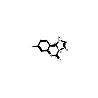 O=c1nc2cc(I)ccc2c2[nH]cnn12